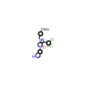 COc1ccc(Cn2nc(-c3cccc(Cl)c3)c3c2CCN(c2ccc4c(c2)CNCC4)C3=O)cc1.Cl